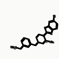 CCCC[C@H]1CN(Cc2cccc(CC(=O)O)c2)CCN1c1nc2ccc(Cl)cc2s1